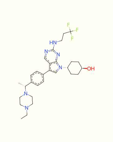 CCN1CCN([C@H](C)c2ccc(-c3cn([C@H]4CC[C@H](O)CC4)c4nc(NCCC(F)(F)F)ncc34)cc2)CC1